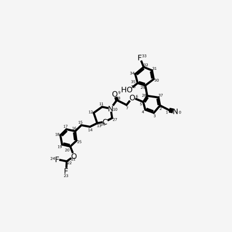 N#Cc1ccc(OCC(=O)N2CCC(CCc3cccc(OC(F)F)c3)CC2)c(-c2ccc(F)cc2O)c1